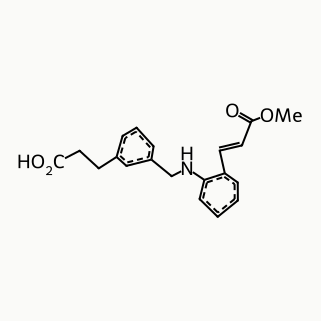 COC(=O)/C=C/c1ccccc1NCc1cccc(CCC(=O)O)c1